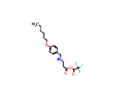 CCCCCCOc1ccc(CNCCC(=O)OC(=O)C(F)(F)F)cc1